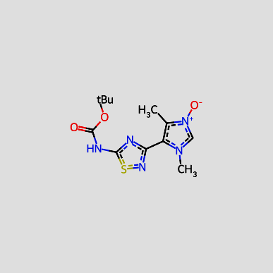 Cc1c(-c2nsc(NC(=O)OC(C)(C)C)n2)n(C)c[n+]1[O-]